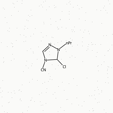 CCCN1N=CN(C#N)C1Cl